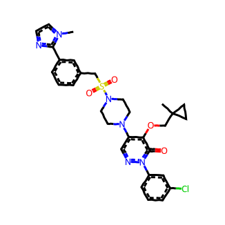 Cn1ccnc1-c1cccc(CS(=O)(=O)N2CCN(c3cnn(-c4cccc(Cl)c4)c(=O)c3OCC3(C)CC3)CC2)c1